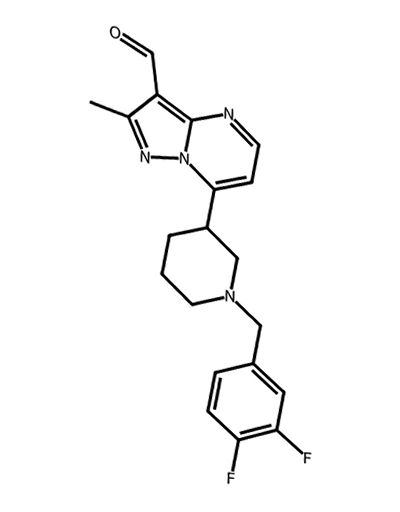 Cc1nn2c(C3CCCN(Cc4ccc(F)c(F)c4)C3)ccnc2c1C=O